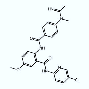 COc1ccc(NC(=O)c2ccc(N(C)C(C)=N)cc2)c(C(=O)Nc2ccc(Cl)cn2)c1